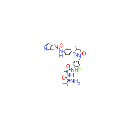 CC1CC(=O)N(Cc2ccc(NC(=O)[C@H](C)NC(=O)[C@@H](N)C(C)C)c(F)c2)N=C1c1ccc(NC(=O)N2Cc3ccncc3C2)cc1